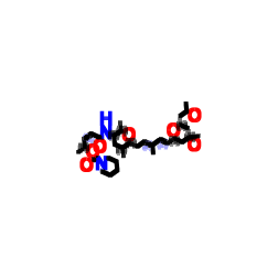 CC(=O)C[C@@H]1C[C@@]2(CO2)C[C@@H](/C=C/C(C)=C/C[C@@H]2O[C@H](C)[C@H](NC(=O)/C=C\[C@H](C)OC(=O)N3CCCCC3)C[C@@H]2C)O1